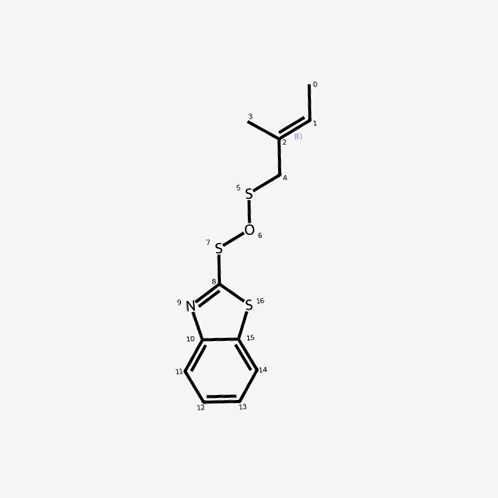 C/C=C(\C)CSOSc1nc2ccccc2s1